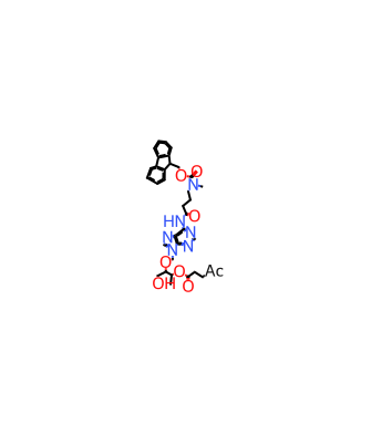 CC(=O)CCC(=O)OC(C)C(CO)OCn1cnc2c(NC(=O)CCCN(C)C(=O)OCC3c4ccccc4-c4ccccc43)ncnc21